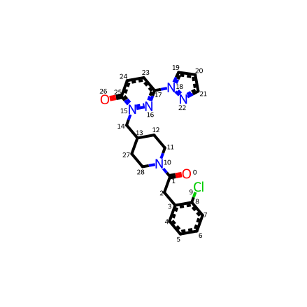 O=C(Cc1ccccc1Cl)N1CCC(Cn2nc(-n3cccn3)ccc2=O)CC1